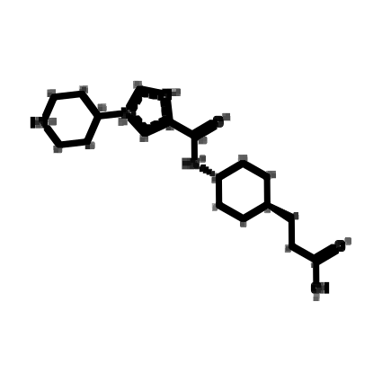 O=C(O)CC[C@H]1CC[C@H](NC(=O)c2cn(C3CCNCC3)cn2)CC1